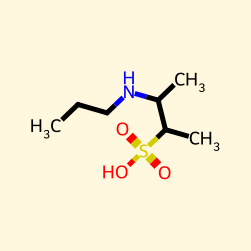 CCCNC(C)C(C)S(=O)(=O)O